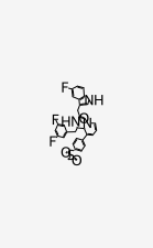 CS(=O)(=O)c1ccc(-c2cccnc2C(Cc2cc(F)cc(F)c2)NC(=O)Cc2c[nH]c3ccc(F)cc23)cc1